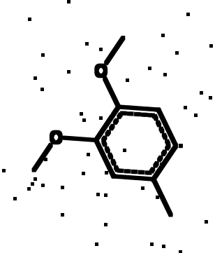 COc1c[c]c(C)cc1OC